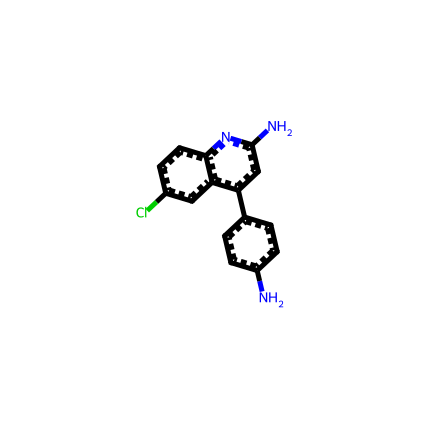 Nc1ccc(-c2cc(N)nc3ccc(Cl)cc23)cc1